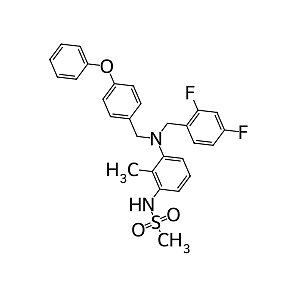 Cc1c(NS(C)(=O)=O)cccc1N(Cc1ccc(Oc2ccccc2)cc1)Cc1ccc(F)cc1F